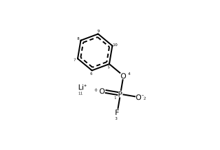 O=P([O-])(F)Oc1ccccc1.[Li+]